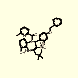 Cc1cccc(C(=O)N2c3cccc(O)c3NC3=C(C2c2ccc(OCc4ccccc4)cc2F)S(=O)(=O)CC(C)(C)C3)n1